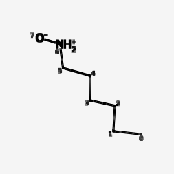 CCCCCC[NH2+][O-]